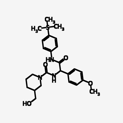 COc1ccc(C(NC(=O)N2CCCC(CO)C2)C(=O)Nc2ccc(S(C)(C)C)cc2)cc1